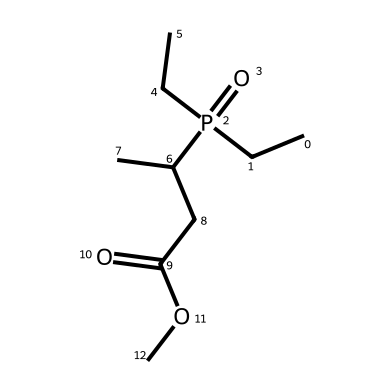 CCP(=O)(CC)C(C)CC(=O)OC